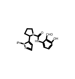 CC(C)n1nccc1C1CCCN1C(=O)Nc1cccc(O)c1C=O